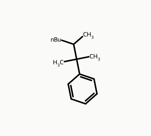 CCCCC(C)C(C)(C)c1ccccc1